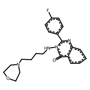 O=c1c2ccccc2nc(-c2ccc(F)cc2)n1NCCCCN1CCOCC1